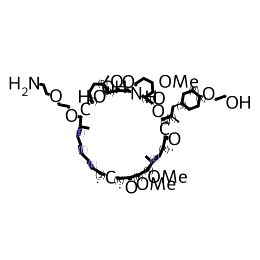 CO[C@@H]1/C(C)=C/[C@@H](C)C(=O)C[C@@H]([C@H](C)C[C@@H]2CC[C@@H](OCCO)[C@H](OC)C2)OC(=O)[C@@H]2CCCCN2C(=O)C(=O)[C@]2(O)O[C@@H](CC[C@H]2C)CC(OCCOCCN)/C(C)=C/C=C/C=C/[C@@H](C)C[C@@H](C)C(=O)[C@@H]1OC